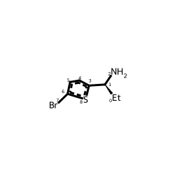 CC[C@H](N)c1ccc(Br)s1